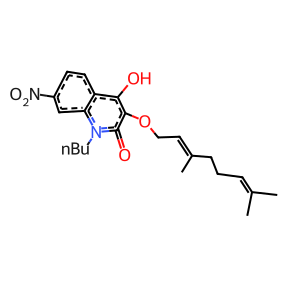 CCCCn1c(=O)c(OC/C=C(\C)CCC=C(C)C)c(O)c2ccc([N+](=O)[O-])cc21